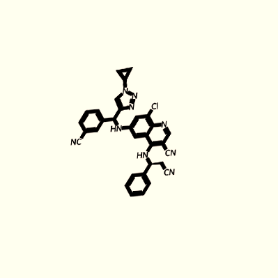 N#CC[C@H](Nc1c(C#N)cnc2c(Cl)cc(NC(c3cccc(C#N)c3)c3cn(C4CC4)nn3)cc12)c1ccccc1